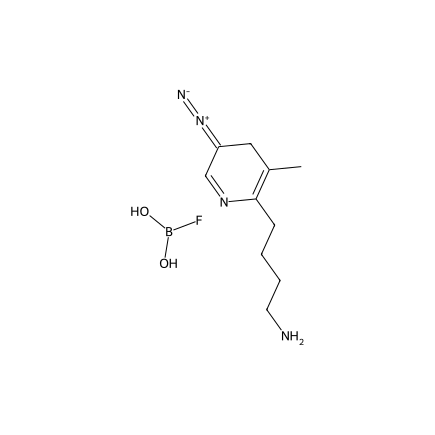 CC1=C(CCCCN)N=CC(=[N+]=[N-])C1.OB(O)F